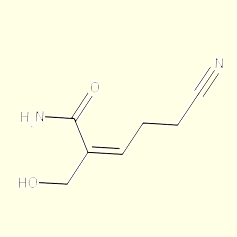 N#CCCC=C(CO)C(N)=O